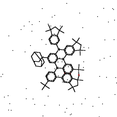 CC(C)(C)c1ccc2c(c1)B1c3cc4c(cc3N(c3ccc5c(c3)C(C)(C)CC5(C)C)c3cc(C56CC7CC(CC(C7)C5)C6)cc(c31)N2c1ccc(C(C)(C)C)cc1-c1ccc2c(c1)C(C)(C)CC2(C)C)C(C)(C)CC4(C)C